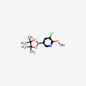 CC(C)(C)Oc1ncc(B2OC(C)(C)C(C)(C)O2)cc1Cl